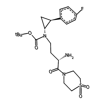 CC(C)(C)OC(=O)N(CC[C@H](N)C(=O)N1CCS(=O)(=O)CC1)[C@@H]1C[C@H]1c1ccc(F)cc1